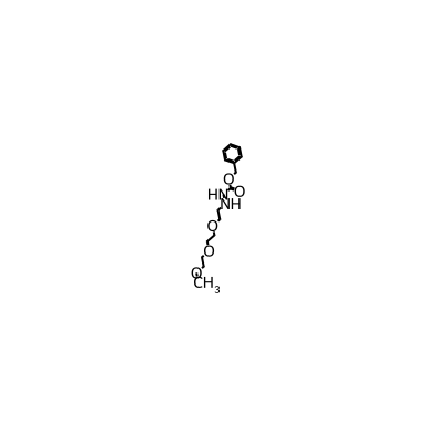 COCCOCCOCCNNC(=O)OCc1ccccc1